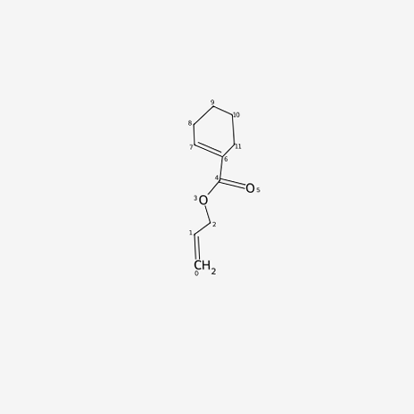 C=CCOC(=O)C1=CCCCC1